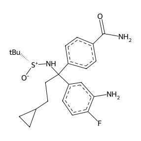 CC(C)(C)[S@@+]([O-])NC(CCC1CC1)(c1ccc(C(N)=O)cc1)c1ccc(F)c(N)c1